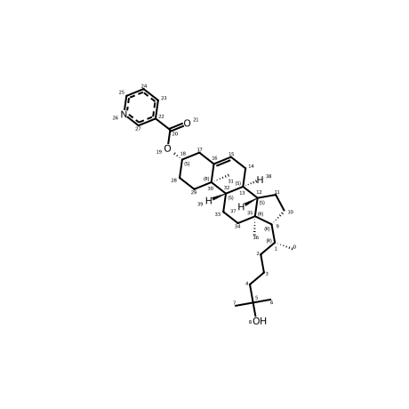 C[C@H](CCCC(C)(C)O)[C@H]1CC[C@H]2[C@@H]3CC=C4C[C@@H](OC(=O)c5cccnc5)CC[C@]4(C)[C@H]3CC[C@]12C